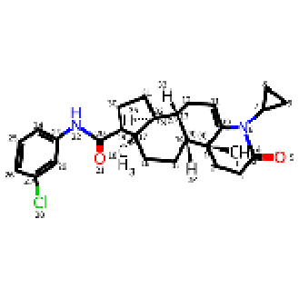 C[C@]12CCC(=O)N(C3CC3)C1=CC[C@@H]1[C@H]2CC[C@]2(C)C(C(=O)Nc3cccc(Cl)c3)CC[C@@H]12